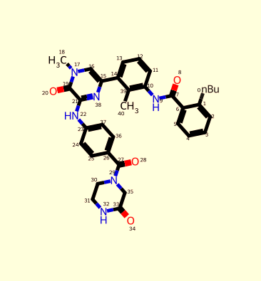 CCCCc1ccccc1C(=O)Nc1cccc(-c2cn(C)c(=O)c(Nc3ccc(C(=O)N4CCNC(=O)C4)cc3)n2)c1C